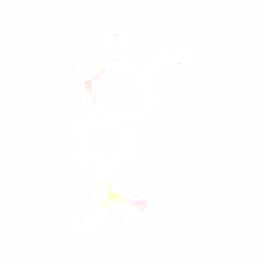 C[S+]([O-])c1ccc2c(c1)C=C(C(=O)O)C(C(F)(F)F)O2